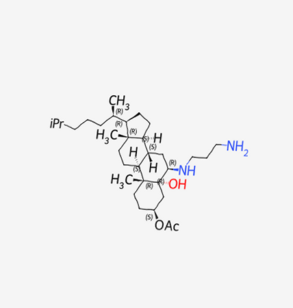 CC(=O)O[C@H]1CC[C@]2(C)[C@H]3CC[C@]4(C)[C@@H]([C@H](C)CCCC(C)C)CC[C@H]4[C@@H]3C[C@@H](NCCCN)[C@@]2(O)C1